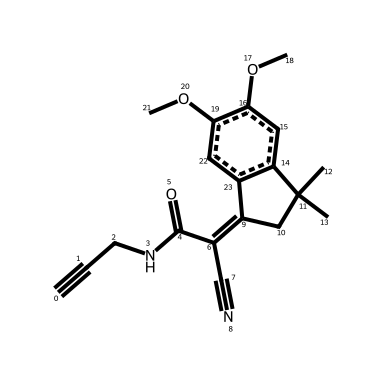 C#CCNC(=O)C(C#N)=C1CC(C)(C)c2cc(OC)c(OC)cc21